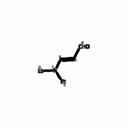 CCN(C=CC=O)CC